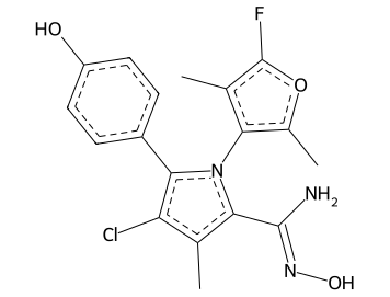 Cc1oc(F)c(C)c1-n1c(/C(N)=N/O)c(C)c(Cl)c1-c1ccc(O)cc1